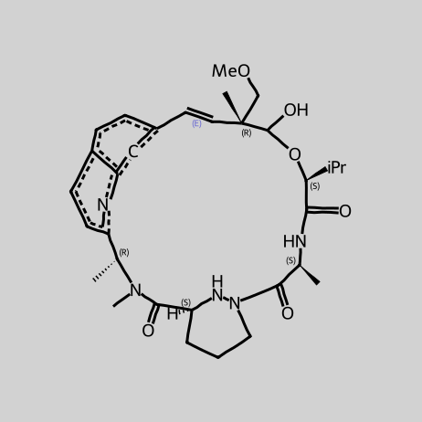 COC[C@@]1(C)/C=C/c2ccc3ccc(nc3c2)[C@@H](C)N(C)C(=O)[C@@H]2CCCN(N2)C(=O)[C@H](C)NC(=O)[C@H](C(C)C)OC1O